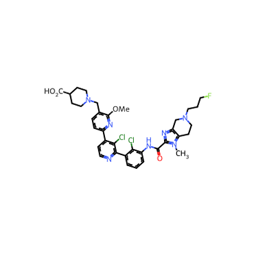 COc1nc(-c2ccnc(-c3cccc(NC(=O)c4nc5c(n4C)CCN(CCCF)C5)c3Cl)c2Cl)ccc1CN1CCC(C(=O)O)CC1